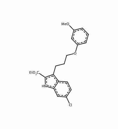 CCOC(=O)c1[nH]c2cc(Cl)ccc2c1CCCOc1cccc(OC)c1